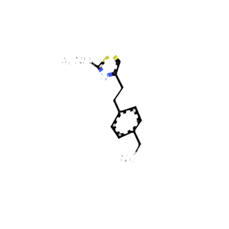 CC(=O)Nc1nc(CCc2ccc(CC#N)cc2)cs1